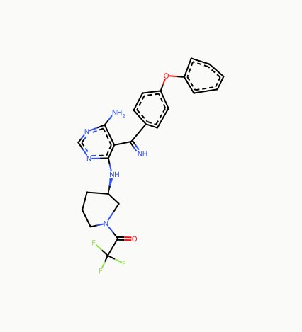 N=C(c1ccc(Oc2ccccc2)cc1)c1c(N)ncnc1N[C@@H]1CCCN(C(=O)C(F)(F)F)C1